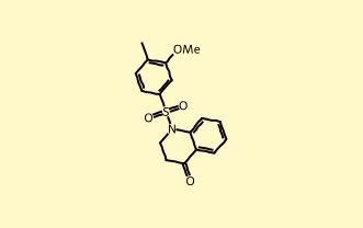 COc1cc(S(=O)(=O)N2CCC(=O)c3ccccc32)ccc1C